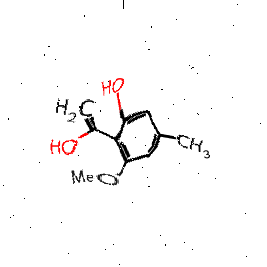 C=C(O)c1c(O)cc(C)cc1OC